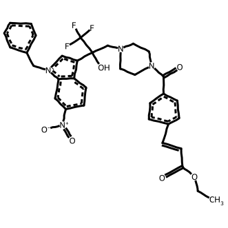 CCOC(=O)/C=C/c1ccc(C(=O)N2CCN(CC(O)(c3cn(Cc4ccccc4)c4cc([N+](=O)[O-])ccc34)C(F)(F)F)CC2)cc1